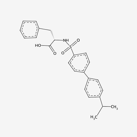 CC(C)c1ccc(-c2ccc(S(=O)(=O)N[C@@H](Cc3ccccc3)C(=O)O)cc2)cc1